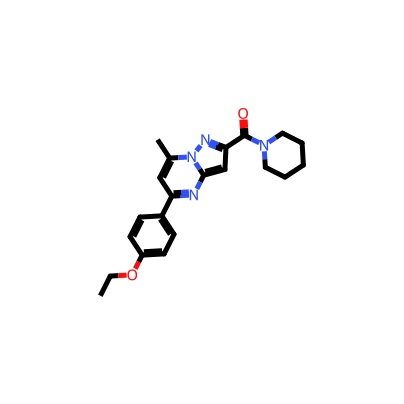 CCOc1ccc(-c2cc(C)n3nc(C(=O)N4CCCCC4)cc3n2)cc1